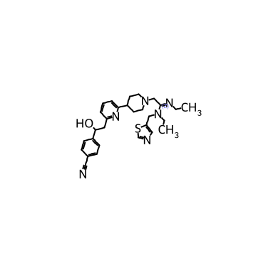 CC/N=C(/CN1CCC(c2cccc(CC(O)c3ccc(C#N)cc3)n2)CC1)N(CC)Cc1cncs1